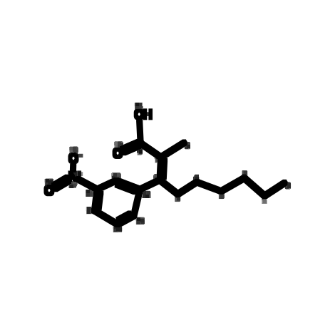 CCCCCCC(=C(C)C(=O)O)c1cccc([N+](=O)[O-])c1